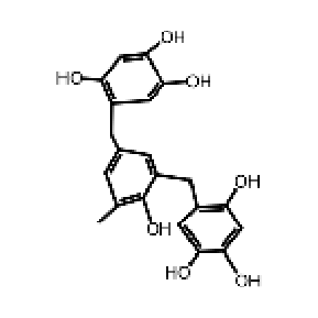 Cc1cc(Cc2cc(O)c(O)cc2O)cc(Cc2cc(O)c(O)cc2O)c1O